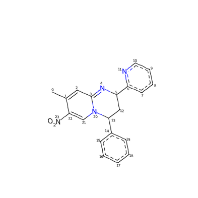 CC1=CC2=NC(c3ccccn3)CC(c3ccccc3)N2C=C1[N+](=O)[O-]